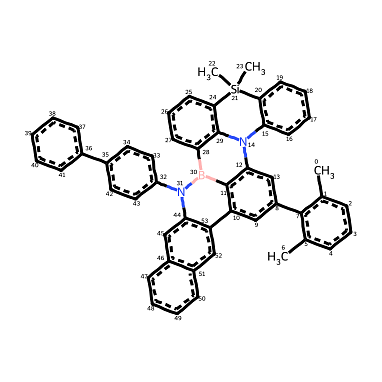 Cc1cccc(C)c1-c1cc2c3c(c1)N1c4ccccc4[Si](C)(C)c4cccc(c41)B3N(c1ccc(-c3ccccc3)cc1)c1cc3ccccc3cc1-2